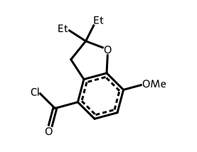 CCC1(CC)Cc2c(C(=O)Cl)ccc(OC)c2O1